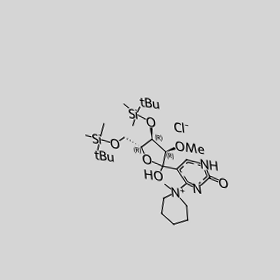 CO[C@@H]1[C@H](O[Si](C)(C)C(C)(C)C)[C@@H](CO[Si](C)(C)C(C)(C)C)OC1(O)c1c[nH]c(=O)nc1[N+]1(C)CCCCC1.[Cl-]